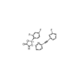 O=C1N[C@@H](c2cccc(C#Cc3cccc(F)c3)n2)[C@H](c2ccc(F)cc2F)O1